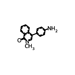 Cn1cc(-c2ccc(N)cc2)c2ccccc2c1=O